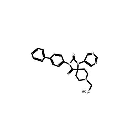 O=C(O)CN1CCC2(CC1)C(=O)N(c1ccc(-c3ccccc3)cc1)C(=O)N2c1cncnc1